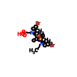 CCCCC[N+]1=C(/C=C/C2=C(S(=O)(=O)c3ccccc3)C(=C/C=C3/N(CCCCS(=O)(=O)O)c4ccc5cc(Br)ccc5c4C3(C)C)/c3ccccc32)C(C)(C)c2c1ccc1cc(Br)ccc21